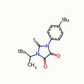 CC(N1C(=O)C(=O)N(c2ccc(C(C)(C)C)cc2)C1=S)C(C)(C)C